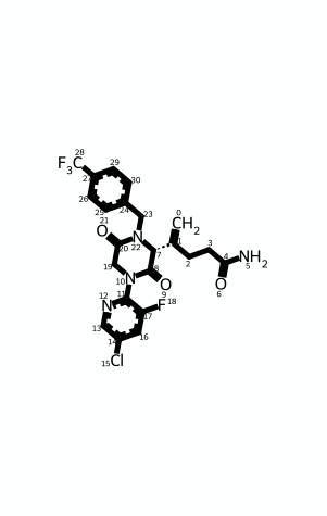 C=C(CCC(N)=O)[C@@H]1C(=O)N(c2ncc(Cl)cc2F)CC(=O)N1Cc1ccc(C(F)(F)F)cc1